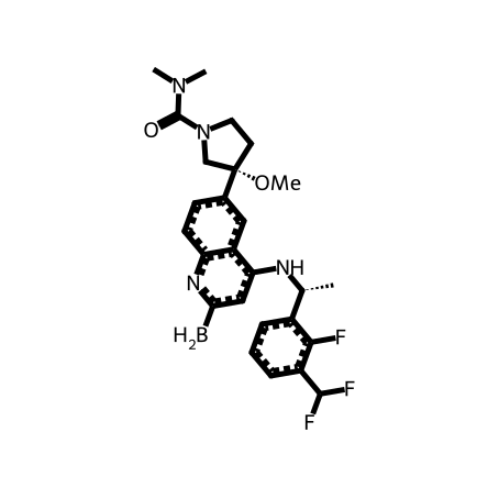 Bc1cc(N[C@H](C)c2cccc(C(F)F)c2F)c2cc([C@]3(OC)CCN(C(=O)N(C)C)C3)ccc2n1